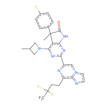 CC1CN(c2nc(-c3cn4ccnc4c(CCC(F)(F)C(F)(F)F)n3)nc3c2C(C)(c2ccc(F)cc2)C(=O)N3)C1